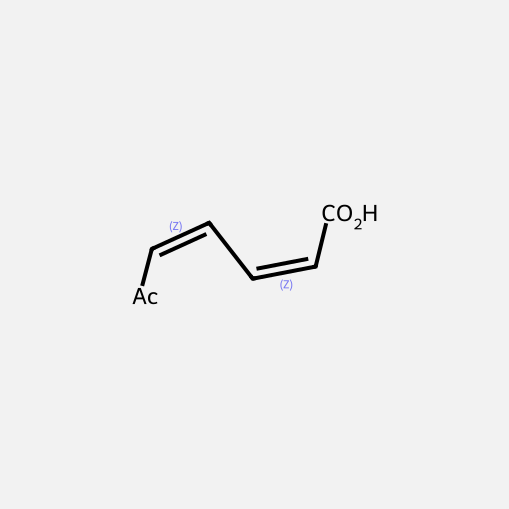 CC(=O)/C=C\C=C/C(=O)O